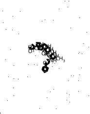 C[C@@H]1CC2(NC(CC(=O)c3ccccc3)CS2)C2(O)O[C@@H]3C[C@]4(CO)C5CC[C@]6(C)[C@@H](C7=CC(=O)OC7)CC[C@]6(O)[C@@H]5CC[C@H]4C[C@H]3O[C@@H]2O1